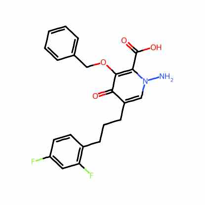 Nn1cc(CCCc2ccc(F)cc2F)c(=O)c(OCc2ccccc2)c1C(=O)O